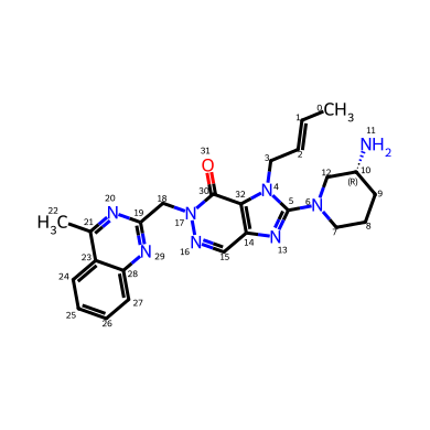 CC=CCn1c(N2CCC[C@@H](N)C2)nc2cnn(Cc3nc(C)c4ccccc4n3)c(=O)c21